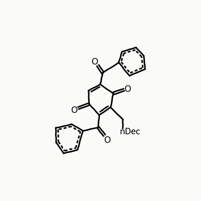 CCCCCCCCCCCC1=C(C(=O)c2ccccc2)C(=O)C=C(C(=O)c2ccccc2)C1=O